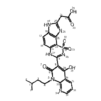 CC(C)CCn1c(=O)c(C2=NS(=O)(=O)c3c(ccc4[nH]c(CC(=O)O)nc34)N2)c(O)c2cccnc21